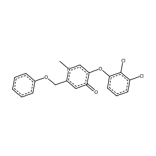 Cn1cc(Oc2cccc(Cl)c2Cl)c(=O)cc1COc1ccccc1